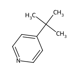 CC(C)(C)c1ccncc1